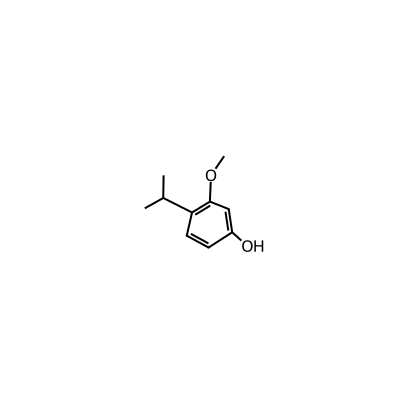 COc1cc(O)ccc1C(C)C